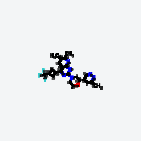 Cc1cc([C@H]2CN(c3nc4nc(C)c(C)cc4c([C@H]4C[C@@H](C(F)(F)F)C4)n3)CCO2)cnn1